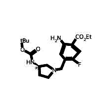 CCOC(=O)c1cc(F)c(CN2CC[C@@H](NC(=O)OC(C)(C)C)C2)cc1N